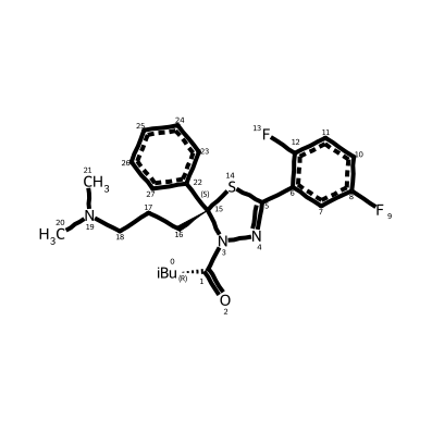 CC[C@@H](C)C(=O)N1N=C(c2cc(F)ccc2F)S[C@@]1(CCCN(C)C)c1ccccc1